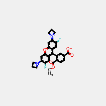 COC(=O)c1ccc(C(=O)O)cc1-c1c2cc(F)c(=[N+]3CCC3)cc-2oc2cc(N3CCC3)c(F)cc12